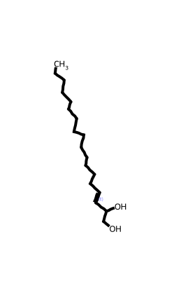 CCCCCCCCCCCCCC/C=C/C(O)CO